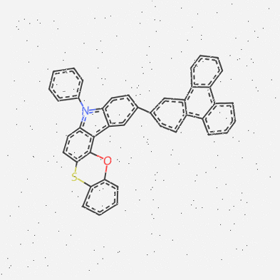 c1ccc(-n2c3ccc(-c4ccc5c6ccccc6c6ccccc6c5c4)cc3c3c4c(ccc32)Sc2ccccc2O4)cc1